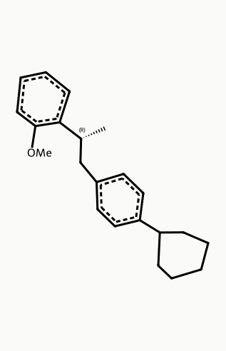 COc1ccccc1[C@H](C)Cc1ccc(C2CCCCC2)cc1